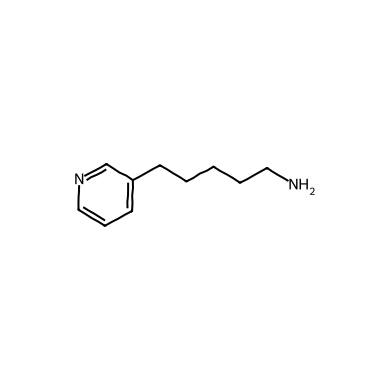 NCCCCCc1cccnc1